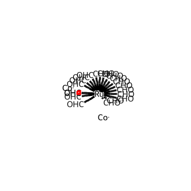 O=[CH][Ru]([CH]=O)([CH]=O)([CH]=O)([CH]=O)([CH]=O)([CH]=O)([CH]=O)([CH]=O)([CH]=O)([CH]=O)([CH]=O)([CH]=O)([CH]=O)([CH]=O)([CH]=O)([CH]=O)([CH]=O)([CH]=O)[CH]=O.[Co].[Co]